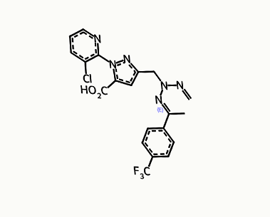 C=NN(Cc1cc(C(=O)O)n(-c2ncccc2Cl)n1)/N=C(\C)c1ccc(C(F)(F)F)cc1